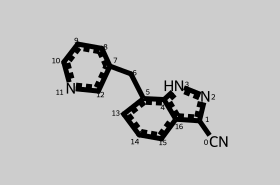 N#Cc1n[nH]c2c(Cc3cccnc3)cccc12